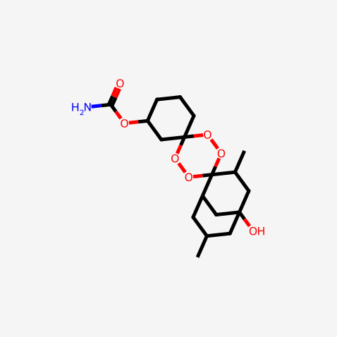 CC1CC2CC(O)(C1)CC(C)C21OOC2(CCCC(OC(N)=O)C2)OO1